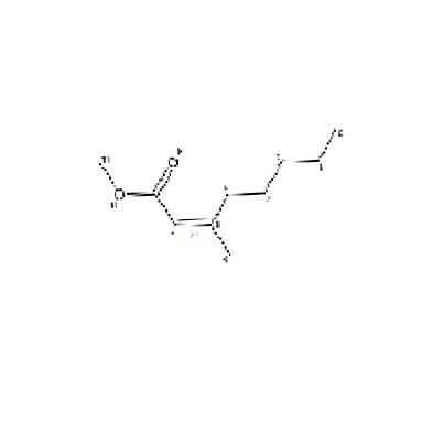 CCCCC/C(C)=C\C(=O)OC